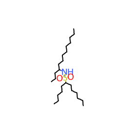 CCCCCCCCCC(CCC)NS(=O)(=O)C(CCCCC)CCCCCC